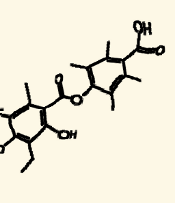 CCc1c(O)c(F)c(C)c(C(=O)Oc2c(C)c(C)c(C(=O)O)c(C)c2C)c1O